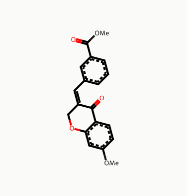 COC(=O)c1cccc(C=C2COc3cc(OC)ccc3C2=O)c1